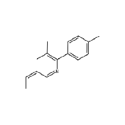 C/C=C\C=N/C(=C(C)C)c1ccc(C)cc1